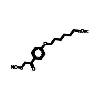 CCCCCCCCCCCCCCCCOc1ccc(C(=O)CSC#N)cc1